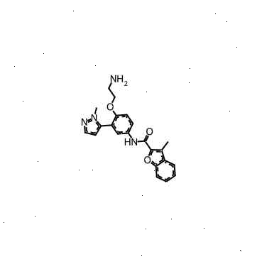 Cc1c(C(=O)Nc2ccc(OCCN)c(-c3ccnn3C)c2)oc2ccccc12